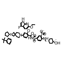 CCOc1nc2[nH]cc(F)c2cc1Oc1cc(N2CCC3(CC2)CN([C@H]2CCC[C@H]2c2ccccc2C(C)(C)C)C3)ccc1C(=O)NS(=O)(=O)c1ccc(NC[C@H]2CC[C@](C)(O)CC2)c([N+](=O)[O-])c1